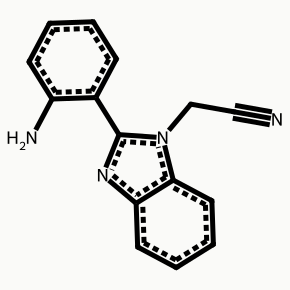 N#CCn1c(-c2ccccc2N)nc2ccccc21